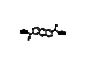 CCCCC(F)c1ccc2cc3cc(C(F)CCCC)ccc3cc2c1